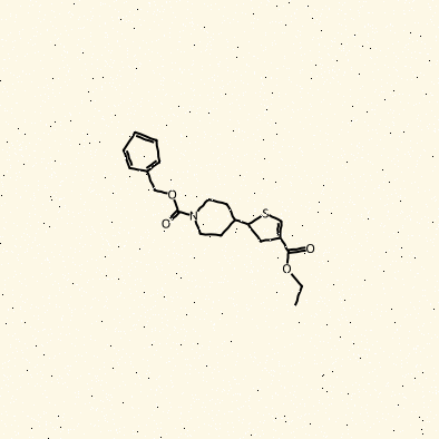 CCOC(=O)C1=CSC(C2CCN(C(=O)OCc3ccccc3)CC2)C1